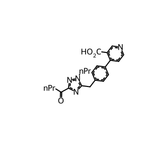 CCCC(=O)c1nc(Cc2ccc(-c3ccncc3C(=O)O)cc2)n(CCC)n1